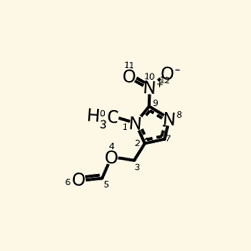 Cn1c(COC=O)cnc1[N+](=O)[O-]